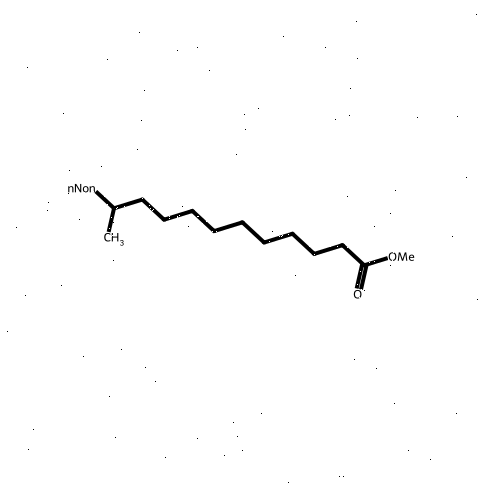 CCCCCCCCCC(C)CCCCCCCCCC(=O)OC